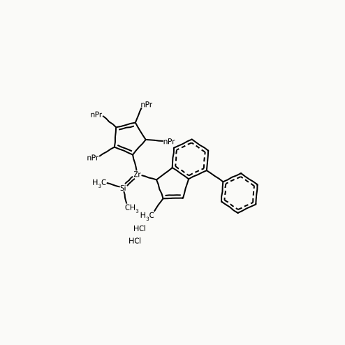 CCCC1=C(CCC)C(CCC)[C]([Zr]([CH]2C(C)=Cc3c(-c4ccccc4)cccc32)=[Si](C)C)=C1CCC.Cl.Cl